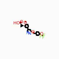 COc1ccc(-c2cnnc(OCc3ccc(OC(F)(F)F)cc3)c2)cc1[C@@H]1C[C@H]1C(=O)O